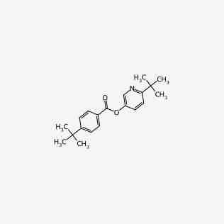 CC(C)(C)c1ccc(C(=O)Oc2ccc(C(C)(C)C)nc2)cc1